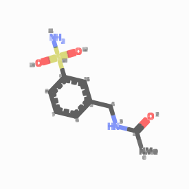 CNC(=O)NCc1cccc(S(N)(=O)=O)c1